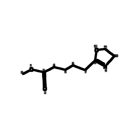 COC(=O)CCCCC1=NCCO1